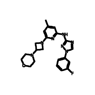 Cc1cc(Nc2ncn(-c3cccc(F)c3)n2)nc(N2CC(N3CCOCC3)C2)c1